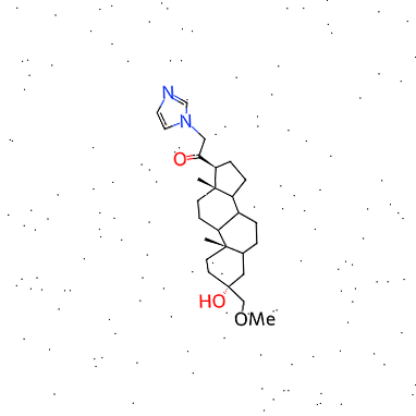 COC[C@@]1(O)CC[C@@]2(C)C(CCC3C2CC[C@@]2(C)C3CC[C@@H]2C(=O)Cn2ccnc2)C1